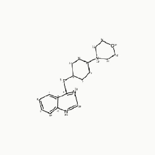 c1ccc2c(SC3CCC(N4CCOCC4)CC3)ncnc2c1